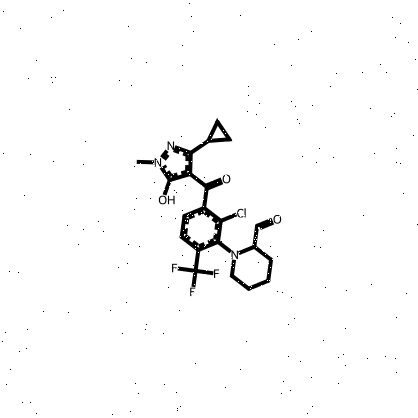 Cn1nc(C2CC2)c(C(=O)c2ccc(C(F)(F)F)c(N3CCCCC3C=O)c2Cl)c1O